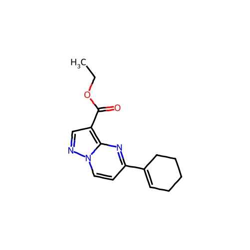 CCOC(=O)c1cnn2ccc(C3=CCCCC3)nc12